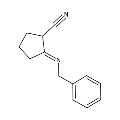 N#CC1CCCC1=NCc1ccccc1